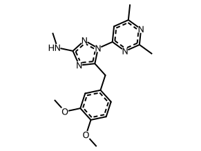 CNc1nc(Cc2ccc(OC)c(OC)c2)n(-c2cc(C)nc(C)n2)n1